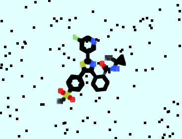 CC(C)S(=O)(=O)c1ccc(-c2sc(-c3cncc(F)c3)nc2[C@@H]2CCCC[C@H]2C(=O)NC2(C#N)CC2)cc1